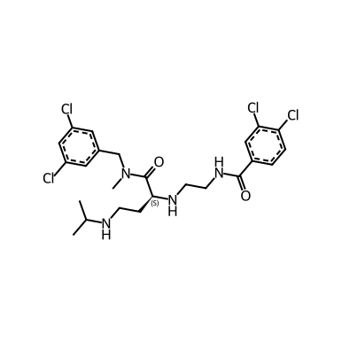 CC(C)NCC[C@H](NCCNC(=O)c1ccc(Cl)c(Cl)c1)C(=O)N(C)Cc1cc(Cl)cc(Cl)c1